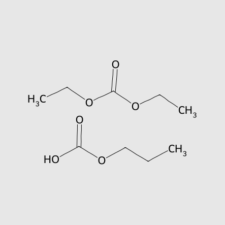 CCCOC(=O)O.CCOC(=O)OCC